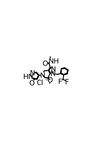 CNC(=O)c1nn(Cc2ccccc2C(F)F)c2c1CN(c1cn[nH]c(=O)c1Cl)C[C@@H]2OC